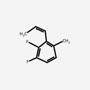 C/C=C\c1c(C)ccc(F)c1F